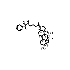 CC[C@H]1[C@@H](O)[C@@H]2[C@H](CC[C@]3(C)[C@@H]([C@H](C)CCCNS(=O)(=O)c4ccccc4)CC[C@@H]23)[C@@]2(C)CC[C@@H](O)C(F)(F)[C@@H]12